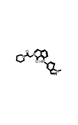 Cn1ncc2cc(Nc3cccc4ccn(CC(=O)N5CCCCC5)c(=O)c34)ccc21